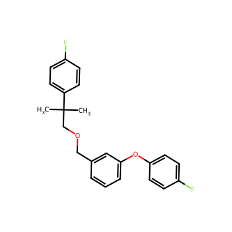 CC(C)(COCc1cccc(Oc2ccc(F)cc2)c1)c1ccc(F)cc1